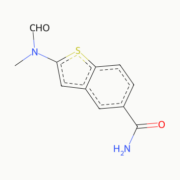 CN(C=O)c1cc2cc(C(N)=O)ccc2s1